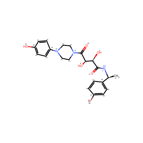 C[C@H](NC(=O)[C@H](O)[C@@H](O)C(=O)N1CCN(c2ccc(O)cc2)CC1)c1ccc(Br)cc1